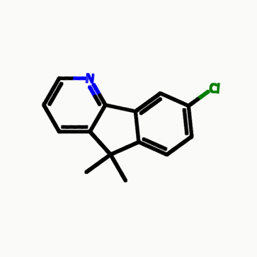 CC1(C)c2ccc(Cl)cc2-c2ncccc21